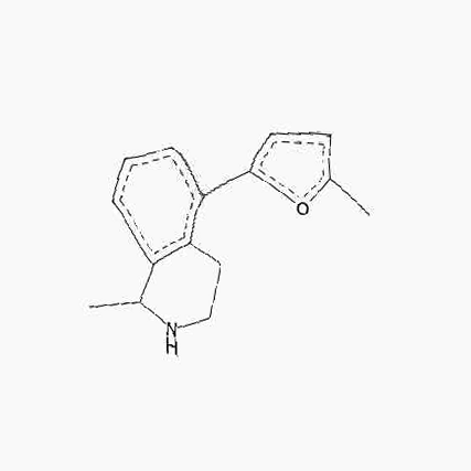 Cc1ccc(-c2cccc3c2CCNC3C)o1